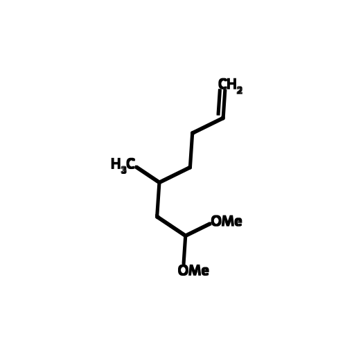 C=CCCC(C)CC(OC)OC